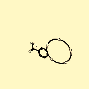 NC(=O)c1ccc2c(c1)OCCOCCOCCOCCO2